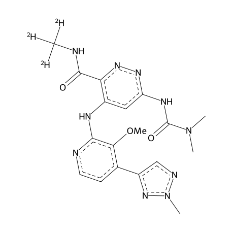 [2H]C([2H])([2H])NC(=O)c1nnc(NC(=O)N(C)C)cc1Nc1nccc(-c2cnn(C)n2)c1OC